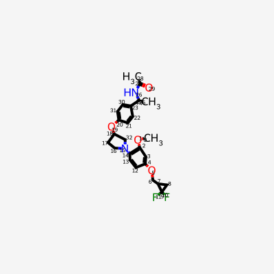 COc1cc(OCC2CC2(F)F)ccc1N1CCC(Oc2ccc([C@H](C)NC(C)=O)cc2)C1